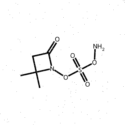 CC1(C)CC(=O)N1OS(=O)(=O)ON